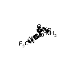 C[C@@H](Cn1cc(C(=O)N2CCN(c3ncc(C(F)(F)F)cn3)CC2)ccc1=O)OC(N)=O